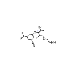 C/C(Br)=C(/OC1=CC(C#N)=CC(C(F)F)C1)C(F)COCC=N